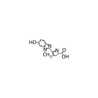 Cn1c(C2=NC(C(=O)O)CS2)nc2ccc(O)cc21